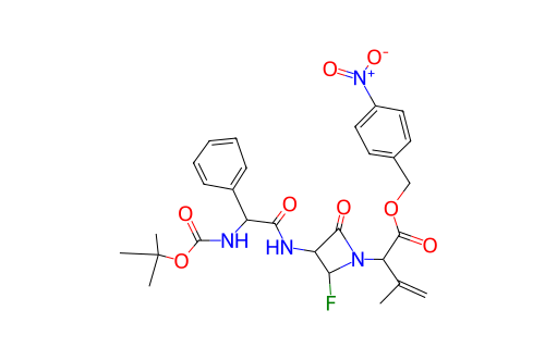 C=C(C)C(C(=O)OCc1ccc([N+](=O)[O-])cc1)N1C(=O)C(NC(=O)C(NC(=O)OC(C)(C)C)c2ccccc2)C1F